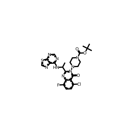 CC(Nc1ncnc2scnc12)c1nc2c(F)ccc(Cl)c2c(=O)n1N1CCN(C(=O)OC(C)(C)C)CC1